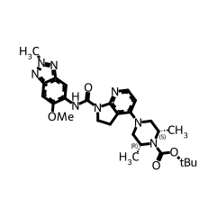 COc1cc2nn(C)nc2cc1NC(=O)N1CCc2c(N3C[C@@H](C)N(C(=O)OC(C)(C)C)[C@@H](C)C3)ccnc21